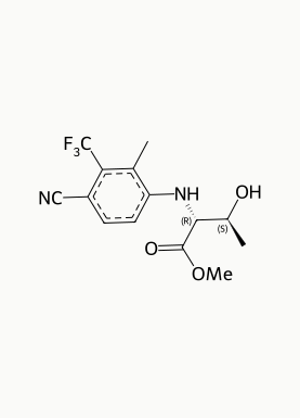 COC(=O)[C@H](Nc1ccc(C#N)c(C(F)(F)F)c1C)[C@H](C)O